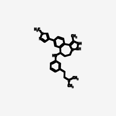 CC1=C2c3ccc(-c4cnn(C)c4)cc3C(Nc3cccc(CCN(C)C)c3)CCN2NN1